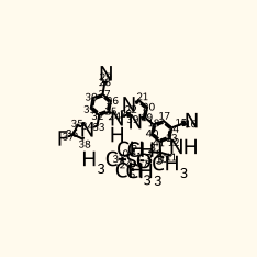 CC(C)(C)[Si](C)(C)OC[C@@]1(C)CNc2c(C#N)cc(-c3ccnc(Nc4cc(C#N)ccc4CN4CC(F)C4)n3)cc21